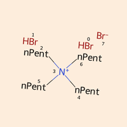 Br.Br.CCCCC[N+](CCCCC)(CCCCC)CCCCC.[Br-]